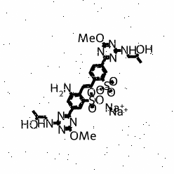 COc1nc(NCC(C)O)nc(-c2ccc(C=Cc3c(N)cc(-c4nc(NCC(C)O)nc(OC)n4)cc3S(=O)(=O)[O-])c(S(=O)(=O)[O-])c2)n1.[Na+].[Na+]